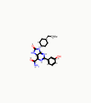 COC[C@H]1CC[C@H](n2c(=O)[nH]c3c(C(N)=O)nc(-c4cccc(O)c4)nc32)CC1